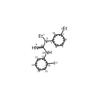 CCc1cccc(N(CC)C(=N)Nc2ccccc2I)c1